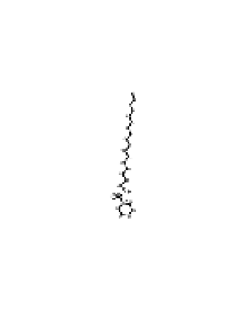 CCCCCCCCCCCCCCCCCNC(=O)C1CCCCC1